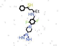 CC[C@@H](CC[C@H](S)c1ccccc1)NCc1cc(F)c(N2CCC(N(C=N)C=N)CC2)cc1F